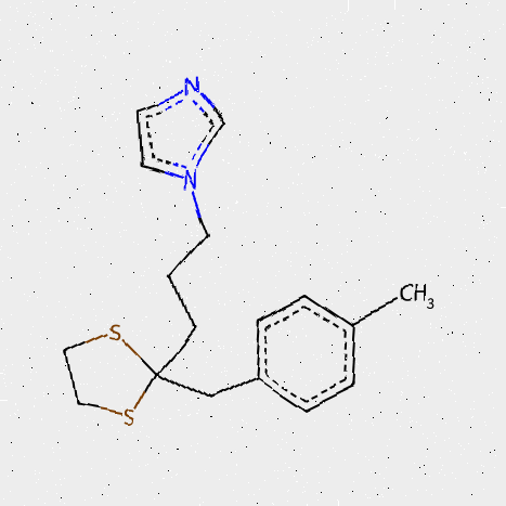 Cc1ccc(CC2(CCCn3ccnc3)SCCS2)cc1